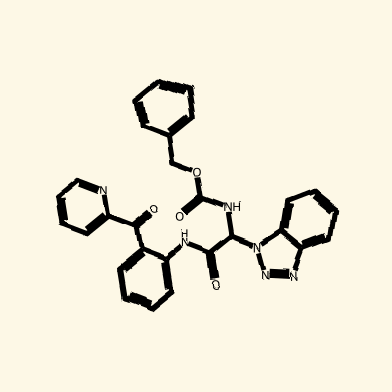 O=C(NC(C(=O)Nc1ccccc1C(=O)c1ccccn1)n1nnc2ccccc21)OCc1ccccc1